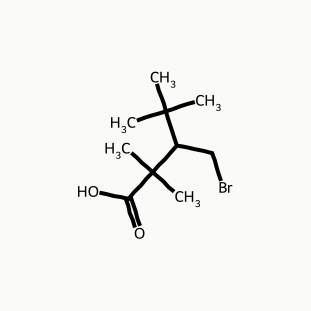 CC(C)(C)C(CBr)C(C)(C)C(=O)O